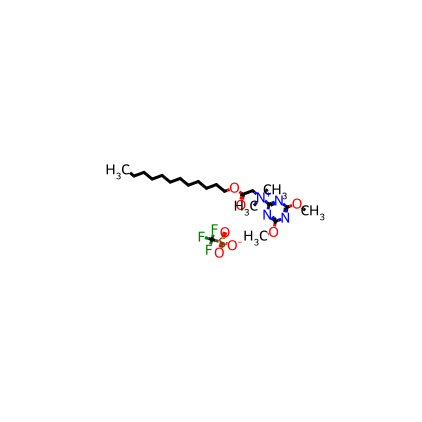 CCCCCCCCCCCCOC(=O)C[N+](C)(C)c1nc(OC)nc(OC)n1.O=S(=O)([O-])C(F)(F)F